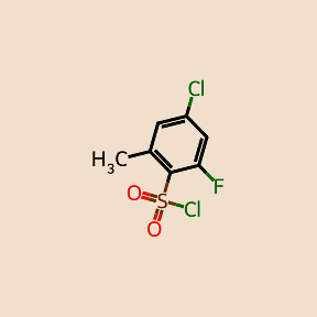 Cc1cc(Cl)cc(F)c1S(=O)(=O)Cl